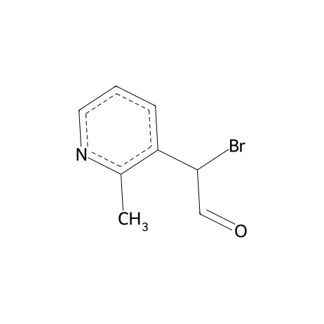 Cc1ncccc1C(Br)C=O